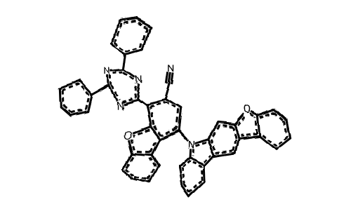 N#Cc1cc(-n2c3ccccc3c3cc4c(cc32)oc2ccccc24)c2c(oc3ccccc32)c1-c1nc(-c2ccccc2)nc(-c2ccccc2)n1